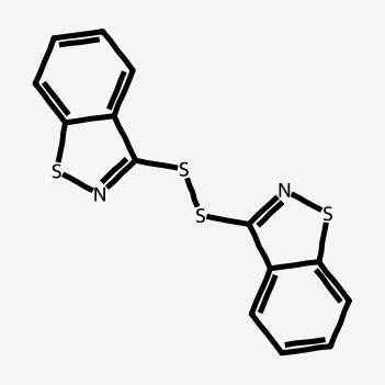 c1ccc2c(SSc3nsc4ccccc34)nsc2c1